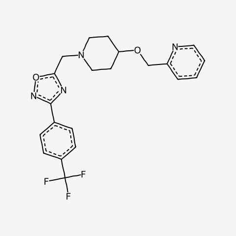 FC(F)(F)c1ccc(-c2noc(CN3CCC(OCc4ccccn4)CC3)n2)cc1